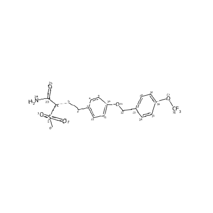 CS(=O)(=O)C(CCc1ccc(OCc2ccc(OC(F)(F)F)cc2)cc1)C(N)=O